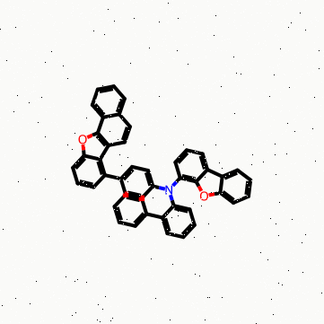 c1ccc(-c2ccccc2N(c2ccc(-c3cccc4oc5c6ccccc6ccc5c34)cc2)c2cccc3c2oc2ccccc23)cc1